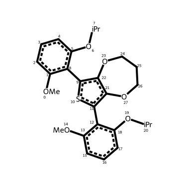 COc1cccc(OC(C)C)c1-c1sc(-c2c(OC)cccc2OC(C)C)c2c1OCCCO2